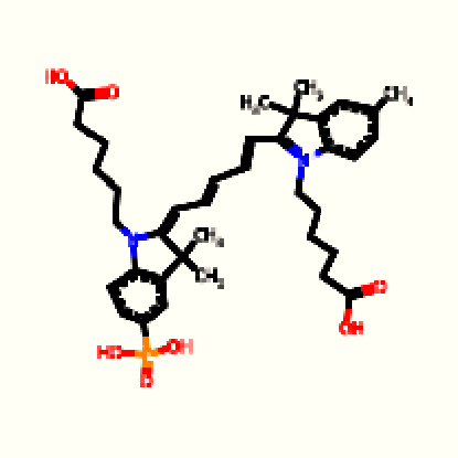 Cc1ccc2c(c1)C(C)(C)C(/C=C/C=C/C=C1/N(CCCCCC(=O)O)c3ccc(P(=O)(O)O)cc3C1(C)C)=[N+]2CCCCCC(=O)O